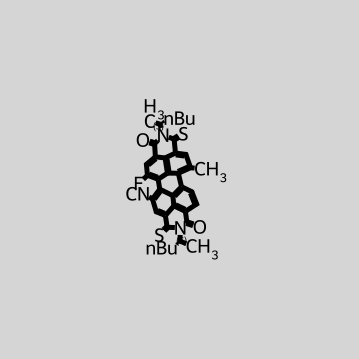 [C-]#[N+]c1cc2c3c(ccc4c5c(C)cc6c7c(cc(F)c(c1c34)c75)C(=O)N([C@@H](C)CCCC)C6=S)C(=O)N([C@@H](C)CCCC)C2=S